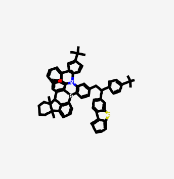 Cc1cc2c3c(c1)N(c1ccc(C(C)(C)C)cc1-c1ccccc1)c1cc(CC(c4ccc(C(C)(C)C)cc4)c4ccc5c(c4)sc4ccccc45)ccc1B3c1cccc3c1C2C1(C)CCCCC31C